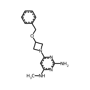 CNc1cc(N2CC(OCc3ccccc3)C2)nc(N)n1